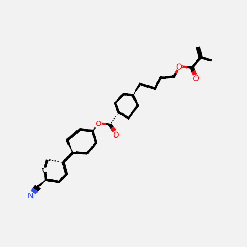 C=C(C)C(=O)OCCCC[C@H]1CC[C@H](C(=O)O[C@H]2CC[C@H]([C@H]3CC[C@H](C#N)CC3)CC2)CC1